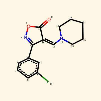 O=C1ON=C(c2cccc(F)c2)/C1=C/N1CCCCC1